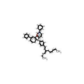 C/C=C\C=C/CC(=C/N=C\C)/C=C/c1ccc(-n2c(/C=C\C(=C/C)c3ccccc3)cc3c2CC=CC(c2ccccc2)=C3)cc1